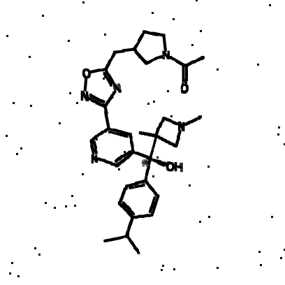 CC(=O)N1CCC(Cc2nc(-c3cncc([C@@](O)(c4ccc(C(C)C)cc4)C4(C)CN(C)C4)c3)no2)C1